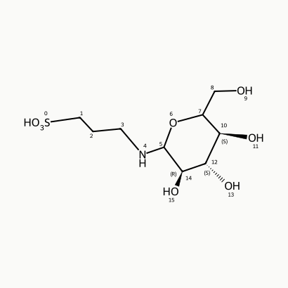 O=S(=O)(O)CCCNC1OC(CO)[C@@H](O)[C@H](O)[C@H]1O